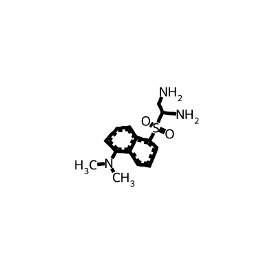 CN(C)c1cccc2c(S(=O)(=O)C(N)CN)cccc12